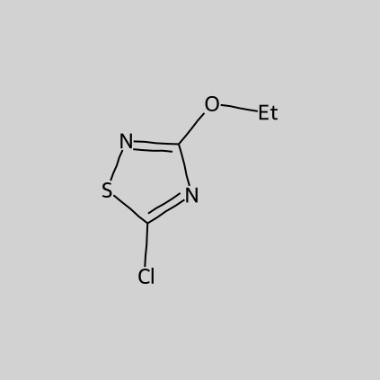 CCOc1nsc(Cl)n1